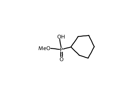 COP(=O)(O)C1CCCCC1